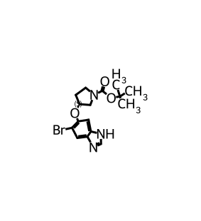 CC(C)(C)OC(=O)N1CC[C@H](Oc2cc3[nH]cnc3cc2Br)C1